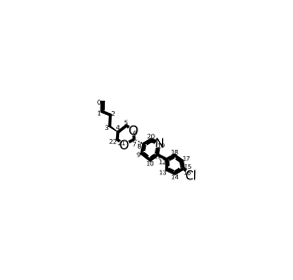 C=CCC[C@H]1CO[C@H](c2ccc(-c3ccc(Cl)cc3)nc2)OC1